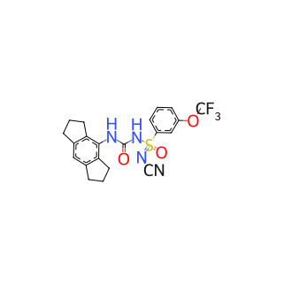 N#CN=S(=O)(NC(=O)Nc1c2c(cc3c1CCC3)CCC2)c1cccc(OC(F)(F)F)c1